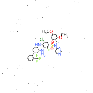 COc1ccc(CN(c2ccncn2)S(=O)(=O)c2cc(Cl)c(NC3CC[C@H](c4ccccc4C(F)(F)F)C[C@@H]3N)cc2F)c(OC)c1